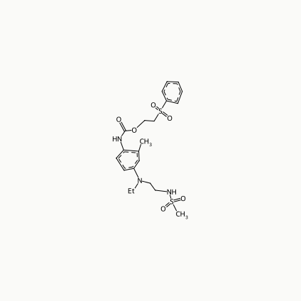 CCN(CCNS(C)(=O)=O)c1ccc(NC(=O)OCCS(=O)(=O)c2ccccc2)c(C)c1